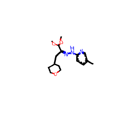 COC(OC)C(CC1CCOCC1)=NNc1ccc(C)cn1